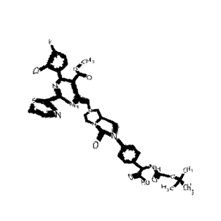 COC(=O)C1=C(CN2CCN3C(=O)N(c4ccc(C(NC(=O)OC(C)(C)C)C(=O)O)cc4)CC3C2)NC(c2nccs2)=NC1c1ccc(F)cc1Cl